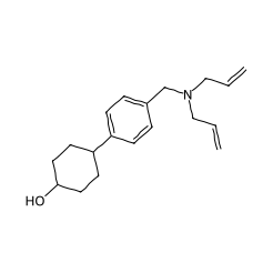 C=CCN(CC=C)Cc1ccc(C2CCC(O)CC2)cc1